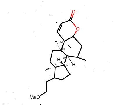 COCCC1CC[C@H]2[C@@H]3C(C)CC4OC(=O)C=C[C@]4(C)[C@@H]3CC[C@]12C